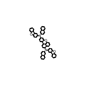 c1ccc2cc(N(c3ccc4c(c3)Oc3cccc5c(N(c6ccc7ccccc7c6)c6ccc7oc8ccccc8c7c6)ccc-4c35)c3ccc4oc5ccccc5c4c3)ccc2c1